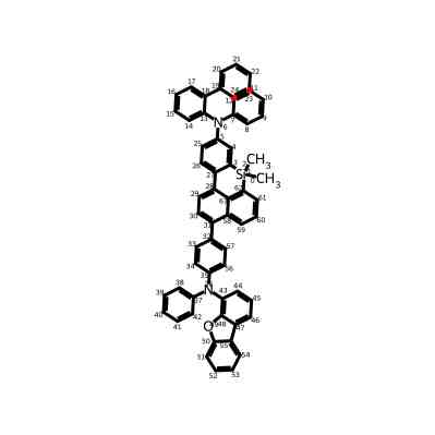 C[Si]1(C)c2cc(N(c3ccccc3)c3ccccc3-c3ccccc3)ccc2-c2ccc(-c3ccc(N(c4ccccc4)c4cccc5c4oc4ccccc45)cc3)c3cccc1c23